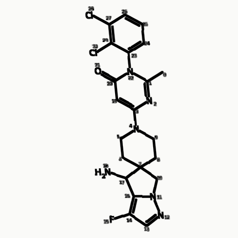 Cc1nc(N2CCC3(CC2)Cn2ncc(F)c2C3N)cc(=O)n1-c1cccc(Cl)c1Cl